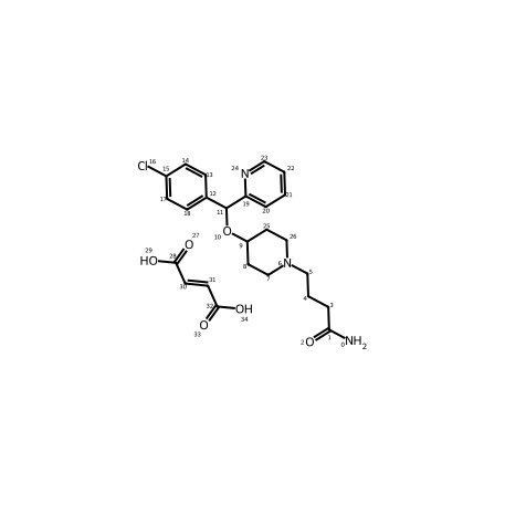 NC(=O)CCCN1CCC(OC(c2ccc(Cl)cc2)c2ccccn2)CC1.O=C(O)C=CC(=O)O